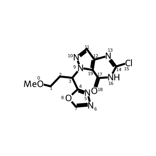 COCCC(c1nnco1)n1ncc2nc(Cl)[nH]c(=O)c21